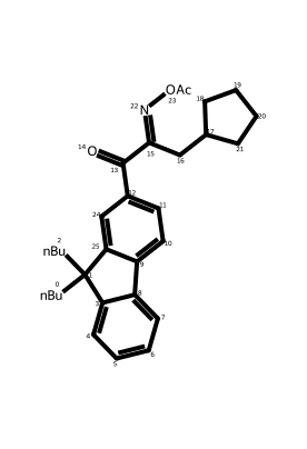 CCCCC1(CCCC)c2ccccc2-c2ccc(C(=O)/C(CC3CCCC3)=N/OC(C)=O)cc21